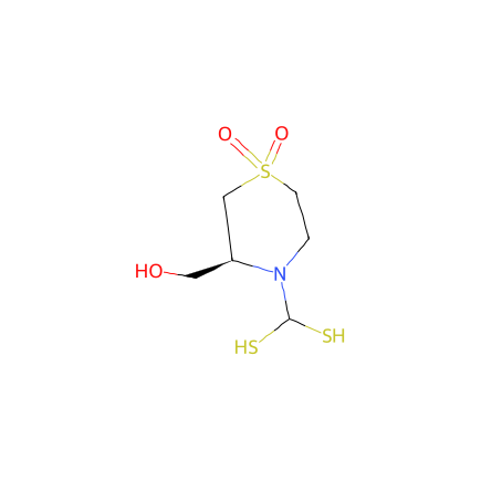 O=S1(=O)CCN(C(S)S)[C@@H](CO)C1